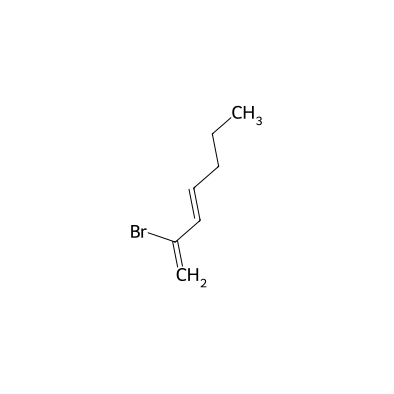 C=C(Br)C=CCCC